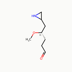 CO[C@@H](CCC=O)CC1CN1